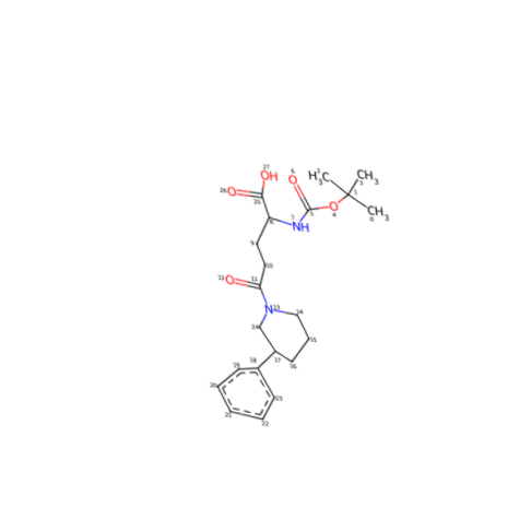 CC(C)(C)OC(=O)NC(CCC(=O)N1CCCC(c2ccccc2)C1)C(=O)O